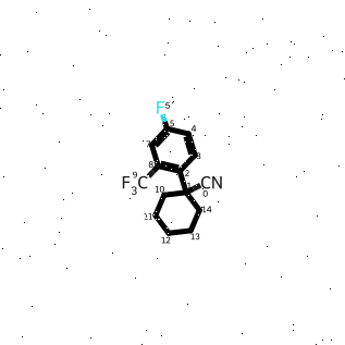 N#CC1(c2ccc(F)cc2C(F)(F)F)CCCCC1